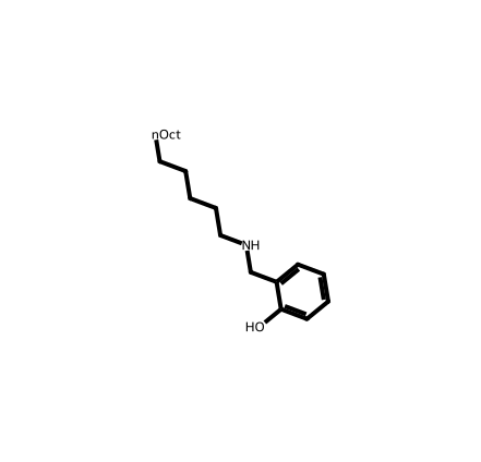 CCCCCCCCCCCCCNCc1ccccc1O